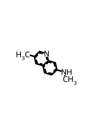 CNc1ccc2cc(C)cnc2c1